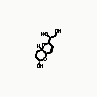 OC[C@H](O)C1C=CC2O[C@H](O)CC[C@@H]2O1